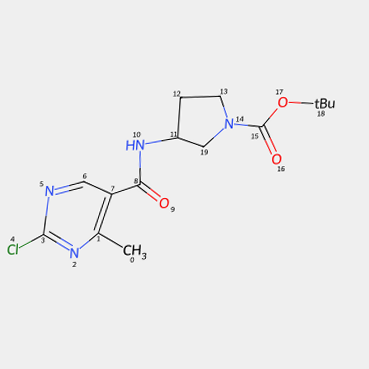 Cc1nc(Cl)ncc1C(=O)NC1CCN(C(=O)OC(C)(C)C)C1